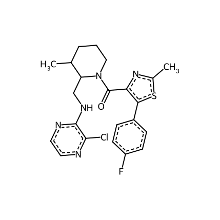 Cc1nc(C(=O)N2CCCC(C)C2CNc2nccnc2Cl)c(-c2ccc(F)cc2)s1